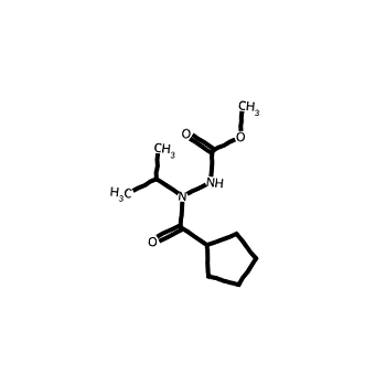 COC(=O)NN(C(=O)C1CCCC1)C(C)C